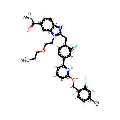 COCCOCCn1c(Cc2ccc(-c3cccc(OCc4ccc(C#N)cc4F)n3)cc2F)nc2ccc(C(=O)OC)cc21